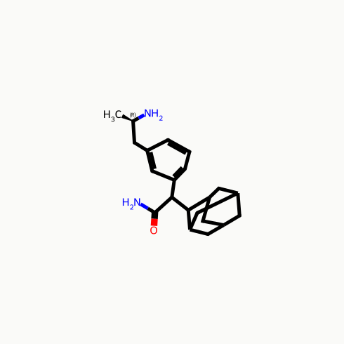 C[C@@H](N)Cc1cccc(C(C(N)=O)C2C3CC4CC(C3)CC2C4)c1